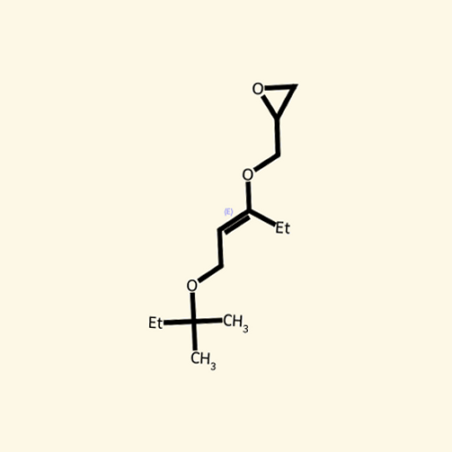 CC/C(=C\COC(C)(C)CC)OCC1CO1